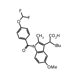 COc1ccc2c(c1)c(C(C(=O)O)C(C)(C)C)c(C)n2C(=O)c1ccc(OC(F)F)cc1